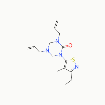 C=CCN1CN(CC=C)C(=O)N(c2snc(CC)c2C)C1